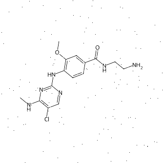 CNc1nc(Nc2ccc(C(=O)NCCN)cc2OC)ncc1Cl